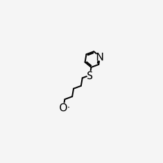 [O]CCCCCSc1cccnc1